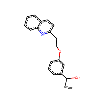 CCCCCC(O)c1cccc(OCCc2ccc3ccccc3n2)c1